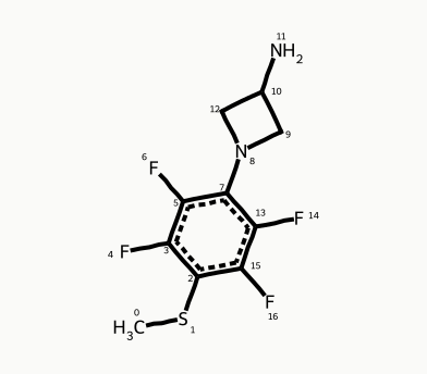 CSc1c(F)c(F)c(N2CC(N)C2)c(F)c1F